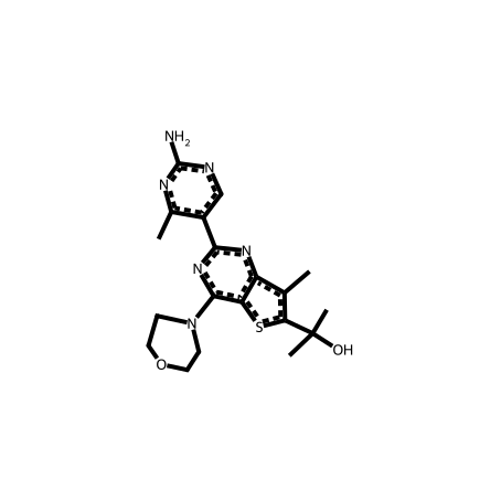 Cc1nc(N)ncc1-c1nc(N2CCOCC2)c2sc(C(C)(C)O)c(C)c2n1